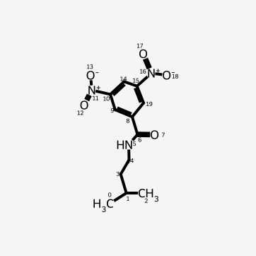 CC(C)C[CH]NC(=O)c1cc([N+](=O)[O-])cc([N+](=O)[O-])c1